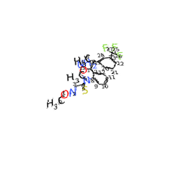 CON=CC(=S)N(C)c1ccccc1C(ON)=C(C)c1cccc(C(F)(F)F)c1